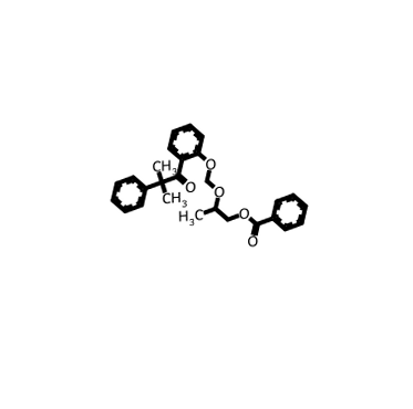 CC(COC(=O)c1ccccc1)OCOc1ccccc1C(=O)C(C)(C)c1ccccc1